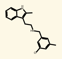 Cc1cc(Cl)cc(CNCCc2c(C)[nH]c3ccccc23)c1